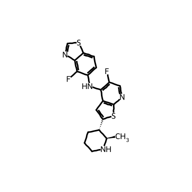 C[C@H]1NCCC[C@@H]1c1cc2c(Nc3ccc4scnc4c3F)c(F)cnc2s1